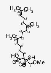 COCP(=O)(O)C(CCCC=C(C)CCC=C(C)CCC=C(C)C)P(=O)(O)O